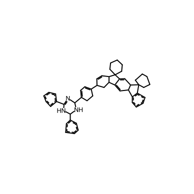 C1=CC2C(CC1C1=CC=C(C3N=C(c4ccccc4)NC(c4ccccc4)N3)CC1)C1=CC3c4ccccc4C4(CCCCC4)C3C=C1C21CCCCC1